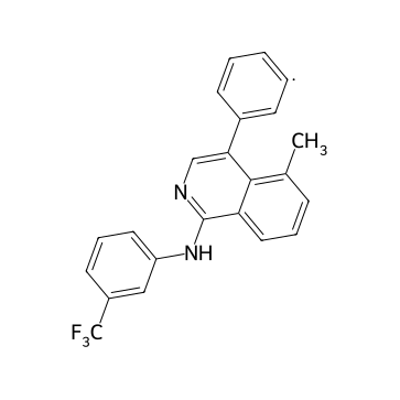 Cc1cccc2c(Nc3cccc(C(F)(F)F)c3)ncc(-c3c[c]ccc3)c12